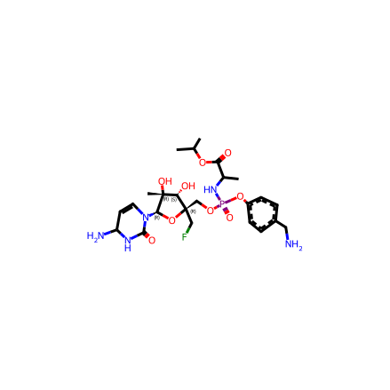 CC(C)OC(=O)C(C)NP(=O)(OC[C@@]1(CF)O[C@@H](N2C=CC(N)NC2=O)[C@](C)(O)[C@@H]1O)Oc1ccc(CN)cc1